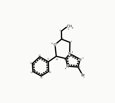 CCC1Cn2nc(Br)nc2C(c2ccccc2)O1